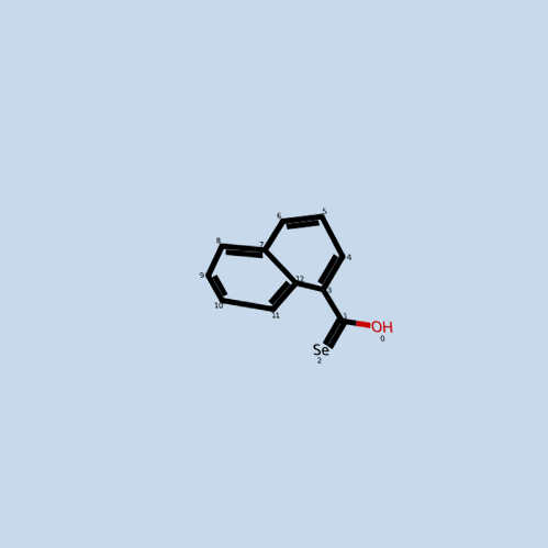 OC(=[Se])c1cccc2ccccc12